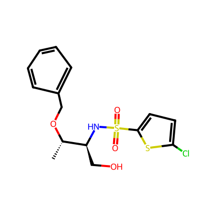 C[C@H](OCc1ccccc1)[C@H](CO)NS(=O)(=O)c1ccc(Cl)s1